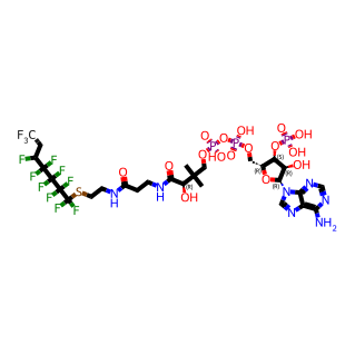 CC(C)(COP(=O)(O)OP(=O)(O)OC[C@H]1O[C@@H](n2cnc3c(N)ncnc32)[C@H](O)[C@@H]1OP(=O)(O)O)[C@@H](O)C(=O)NCCC(=O)NCCSC(F)(F)C(F)(F)C(F)(F)C(F)(F)C(F)CC(F)(F)F